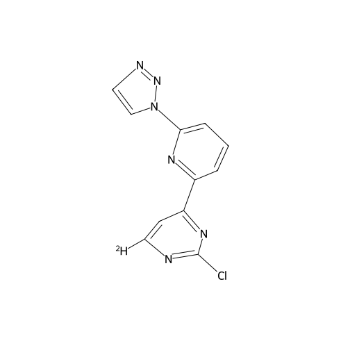 [2H]c1cc(-c2cccc(-n3ccnn3)n2)nc(Cl)n1